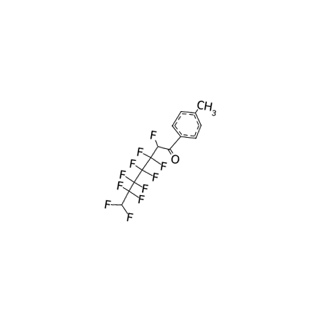 Cc1ccc(C(=O)C(F)C(F)(F)C(F)(F)C(F)(F)C(F)(F)C(F)F)cc1